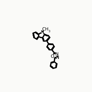 Cn1c2ccccc2c2cc(-c3ccc(-c4nnc(-c5ccccc5)o4)cc3)ccc21